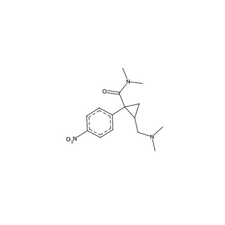 CN(C)CC1CC1(C(=O)N(C)C)c1ccc([N+](=O)[O-])cc1